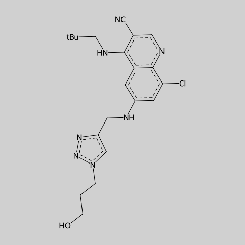 CC(C)(C)CNc1c(C#N)cnc2c(Cl)cc(NCc3cn(CCCO)nn3)cc12